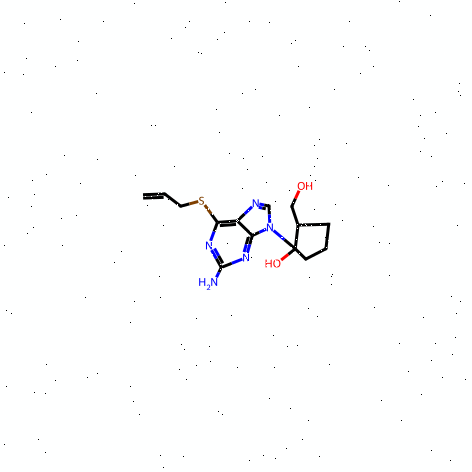 C=CCSc1nc(N)nc2c1ncn2C1(O)CCCC1CO